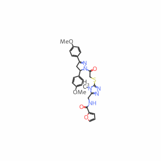 COc1ccc(C2=NN(C(=O)CSc3nnc(CNC(=O)c4ccco4)n3C)C(c3ccc(OC)cc3)C2)cc1